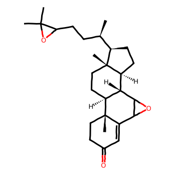 C[C@H](CCC1OC1(C)C)[C@H]1CC[C@H]2[C@@H]3C4OC4C4=CC(=O)CC[C@]4(C)[C@H]3CC[C@]12C